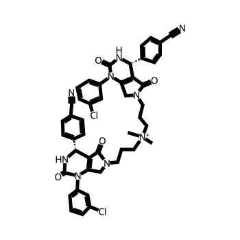 C[N+](C)(CCCN1CC2=C(C1=O)[C@@H](c1ccc(C#N)cc1)NC(=O)N2c1cccc(Cl)c1)CCCN1CC2=C(C1=O)[C@@H](c1ccc(C#N)cc1)NC(=O)N2c1cccc(Cl)c1